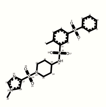 Cc1ccc(S(=O)(=O)c2ccccc2)cc1S(=O)(=O)NC1CCN(S(=O)(=O)c2cn(C)cn2)CC1